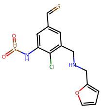 O=[SH](=O)Nc1cc(C=S)cc(CNCc2ccco2)c1Cl